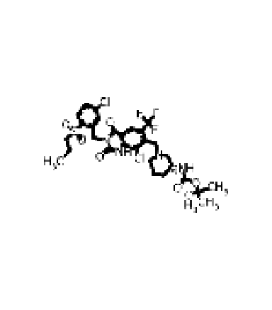 CCCS(=O)(=O)c1ccc(Cl)cc1Cn1c(=O)[nH]c2c(Cl)c(CN3CCC[C@@H](NC(=O)OC(C)(C)C)C3)c(C(F)(F)F)cc2c1=O